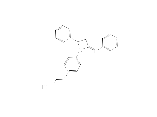 O=C(O)COc1ccc(N2/C(=N/c3ccccc3)CC2c2ccccc2)cc1